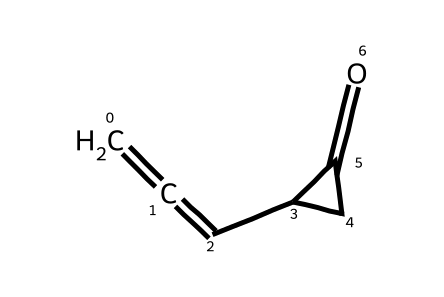 C=C=CC1CC1=O